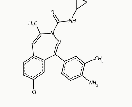 CC1=Cc2ccc(Cl)cc2C(c2ccc(N)c(C)c2)=NN1C(=O)NC1CC1